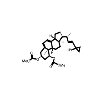 COC(=O)O[C@@H]1CC2=CC=C3[C@@H]4CC[C@H]([C@H](C)/C=C/C5(C(C)C)CC5)[C@@]4(C)CC[C@@H]3[C@@]2(C)[C@@H](OC(=O)OC)C1